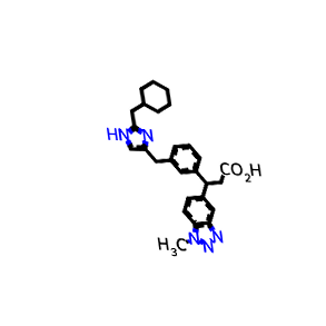 Cn1nnc2cc(C(CC(=O)O)c3cccc(Cc4c[nH]c(CC5CCCCC5)n4)c3)ccc21